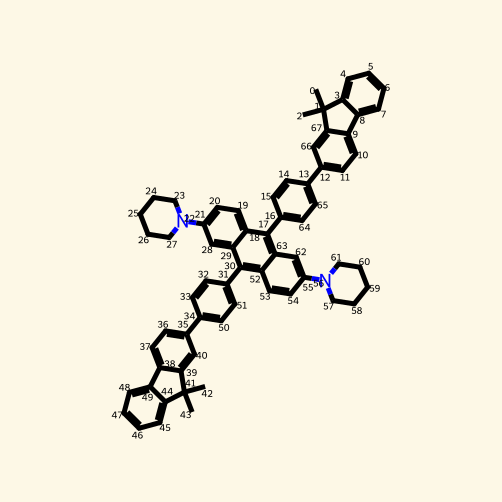 CC1(C)c2ccccc2-c2ccc(-c3ccc(-c4c5ccc(N6CCCCC6)cc5c(-c5ccc(-c6ccc7c(c6)C(C)(C)c6ccccc6-7)cc5)c5ccc(N6CCCCC6)cc45)cc3)cc21